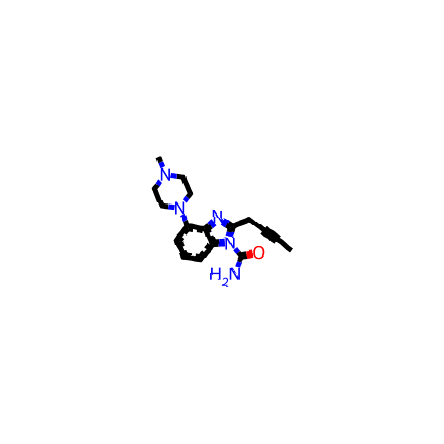 CC#CCc1nc2c(N3CCN(C)CC3)cccc2n1C(N)=O